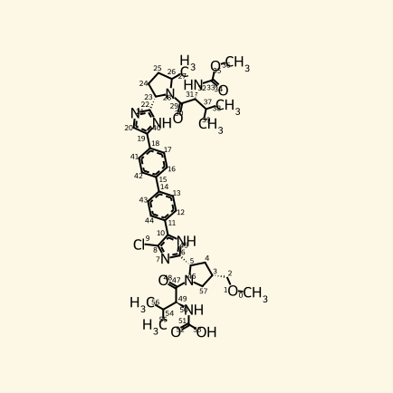 COC[C@H]1C[C@@H](c2nc(Cl)c(-c3ccc(-c4ccc(-c5cnc([C@@H]6CCC(C)N6C(=O)[C@H](NC(=O)OC)C(C)C)[nH]5)cc4)cc3)[nH]2)N(C(=O)[C@@H](NC(=O)O)C(C)C)C1